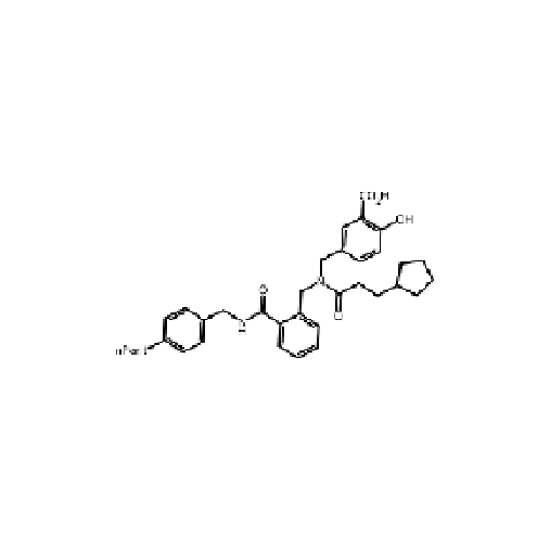 CCCCCc1ccc(CNC(=O)c2ccccc2CN(Cc2ccc(O)c(C(=O)O)c2)C(=O)CCC2CCCC2)cc1